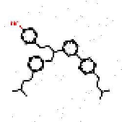 CC(C)CCc1ccc(-c2cccc(C(CCc3ccc(O)cc3)Cc3cccc(CCC(C)C)c3)c2)cc1